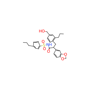 CCCc1ccc(S(=O)(=O)NC(=O)C(Cc2ccc(CO)cc2CCC)c2ccc3c(c2)OCO3)cc1